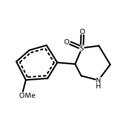 COc1cccc(C2CNCCS2(=O)=O)c1